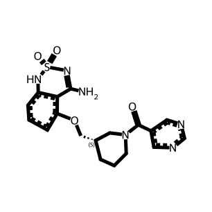 NC1=NS(=O)(=O)Nc2cccc(OC[C@H]3CCCN(C(=O)c4cncnc4)C3)c21